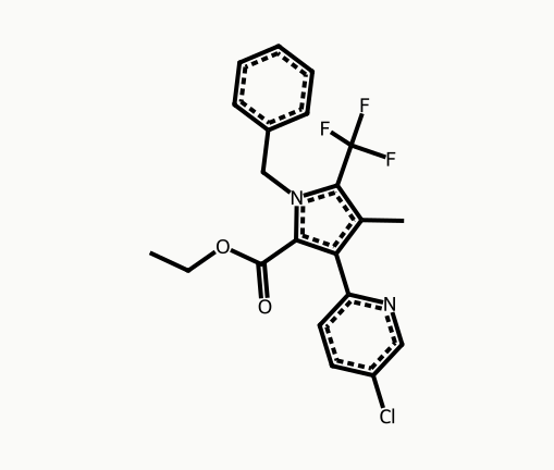 CCOC(=O)c1c(-c2ccc(Cl)cn2)c(C)c(C(F)(F)F)n1Cc1ccccc1